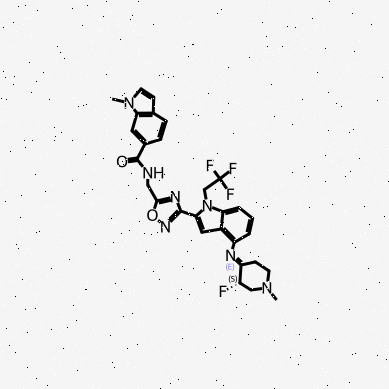 CN1CC/C(=N\c2cccc3c2cc(-c2noc(CNC(=O)c4ccc5ccn(C)c5c4)n2)n3CC(F)(F)F)[C@@H](F)C1